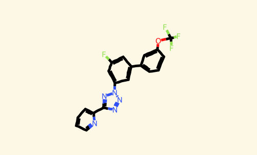 Fc1cc(-c2cccc(OC(F)(F)F)c2)cc(-n2nnc(-c3ccccn3)n2)c1